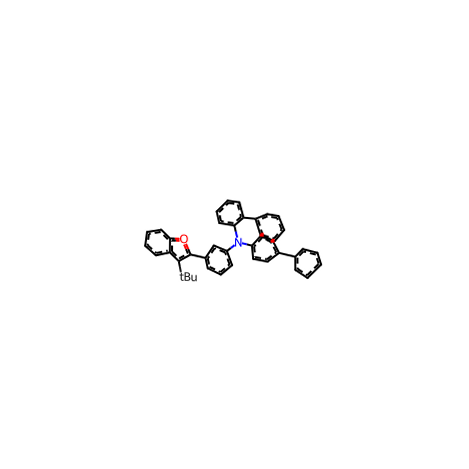 CC(C)(C)c1c(-c2cccc(N(c3ccc(-c4ccccc4)cc3)c3ccccc3-c3ccccc3)c2)oc2ccccc12